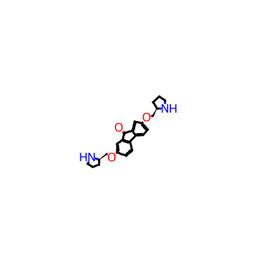 O=C1c2cc(OC[C@H]3CCCN3)ccc2-c2ccc(OC[C@H]3CCCN3)cc21